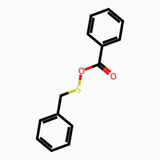 O=C(OSCc1ccccc1)c1ccccc1